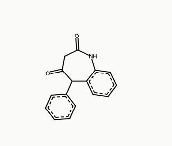 O=C1CC(=O)C(c2ccccc2)c2ccccc2N1